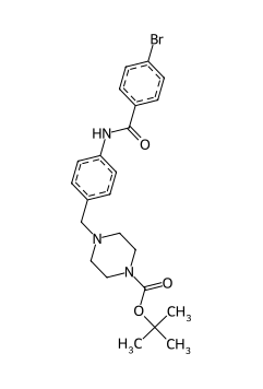 CC(C)(C)OC(=O)N1CCN(Cc2ccc(NC(=O)c3ccc(Br)cc3)cc2)CC1